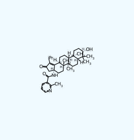 Cc1ncccc1C(=O)N[C@@]12CC[C@]3(C)[C@H](CC[C@@H]4[C@@]5(C)CC[C@H](O)C(C)(C)[C@@H]5CC[C@]43C)C1=C(C(C)C)C(=O)C2